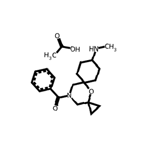 CC(=O)O.CNC1CCC2(CC1)CN(C(=O)c1ccccc1)CC1(CC1)O2